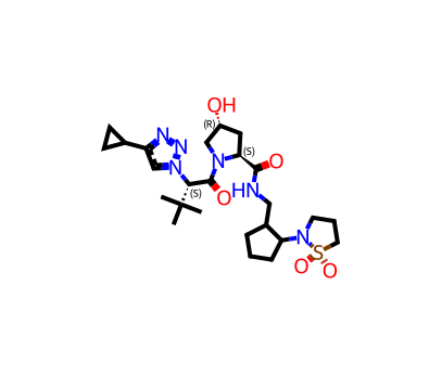 CC(C)(C)[C@@H](C(=O)N1C[C@H](O)C[C@H]1C(=O)NCC1CCCC1N1CCCS1(=O)=O)n1cc(C2CC2)nn1